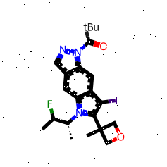 CC(F)[C@@H](C)n1c(C2(C)COC2)c(I)c2cc3c(cnn3C(=O)C(C)(C)C)cc21